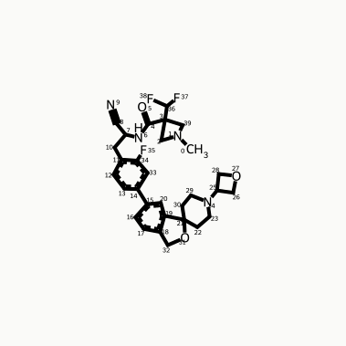 CN1CC(C(=O)NC(C#N)Cc2ccc(-c3ccc4c(c3)C3(CCN(C5COC5)CC3)OC4)cc2F)(C(F)F)C1